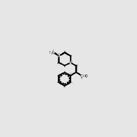 O=CC(CN1CCN(C(F)(F)F)CC1)c1ccccc1